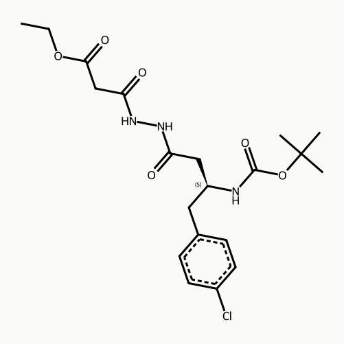 CCOC(=O)CC(=O)NNC(=O)C[C@H](Cc1ccc(Cl)cc1)NC(=O)OC(C)(C)C